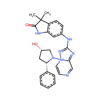 CC1(C)C(=O)Nc2cc(NC3=N[N+]4(N5C[C@@H](O)C[C@H]5c5ccccc5)C=CN=CC4=N3)ccc21